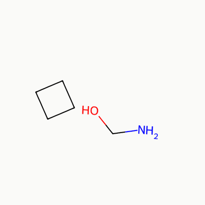 C1CCC1.NCO